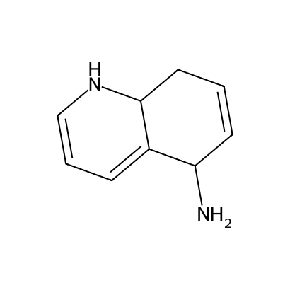 NC1C=CCC2NC=CC=C12